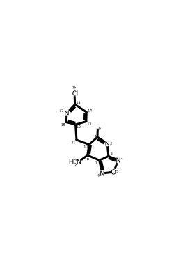 Cc1nc2nonc2c(N)c1Cc1ccc(Cl)nc1